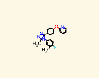 Cc1cc(-n2c(C)nnc2[C@H]2CC[C@H](Oc3ccccn3)CC2)ccc1F